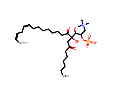 CCCCC/C=C\C/C=C\CCCCCCCC(=O)C(O)(CC(=O)CCCCCCCCCCCCCCC)C(O)C(C[N+](C)(C)C)OP(=O)([O-])O